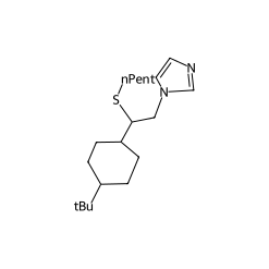 CCCCCSC(Cn1ccnc1)C1CCC(C(C)(C)C)CC1